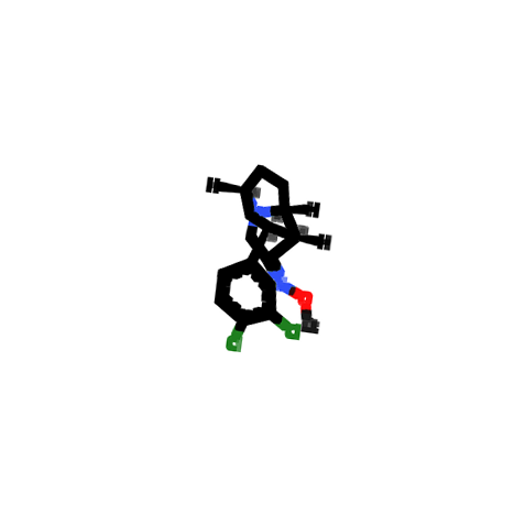 CCON=C1CN2[C@H]3CC[C@@H]2[C@H]1[C@@H](c1ccc(Cl)c(Cl)c1)C3